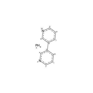 P.c1cncc(-c2cccnc2)c1